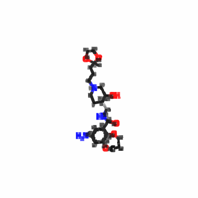 CC1(CCCN2CC[C@@H](CNC(=O)c3cc(N)cc4c3OCCCO4)C(O)C2)OCCO1